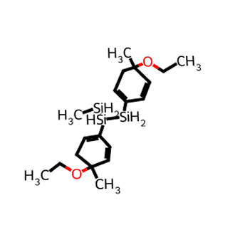 CCOC1(C)C=CC([SiH2][SiH]([SiH2]C)C2=CCC(C)(OCC)C=C2)=CC1